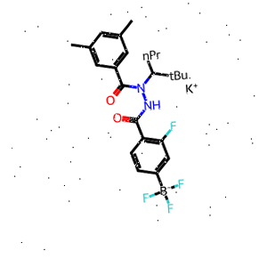 CCCC(N(NC(=O)c1ccc([B-](F)(F)F)cc1F)C(=O)c1cc(C)cc(C)c1)C(C)(C)C.[K+]